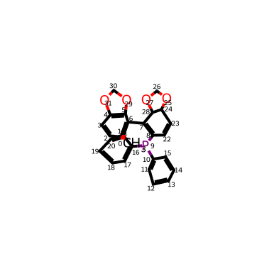 Cc1ccc2c(c1C1=C(P(c3ccccc3)c3ccccc3)C=CC3OCOC13)OCO2